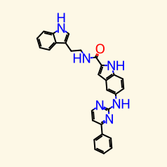 O=C(NCCc1c[nH]c2ccccc12)c1cc2cc(Nc3nccc(-c4ccccc4)n3)ccc2[nH]1